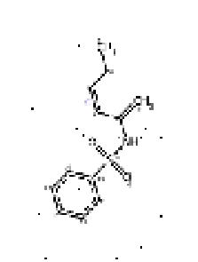 C=C(/C=C\CC)NS(=O)(=O)c1ccccc1